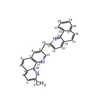 Cc1ccc2ccc3cc(Cc4ccc5ccc6ccccc6c5n4)cnc3c2n1